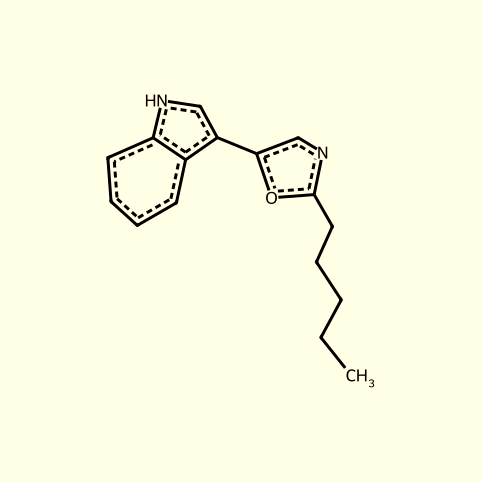 CCCCCc1ncc(-c2c[nH]c3ccccc23)o1